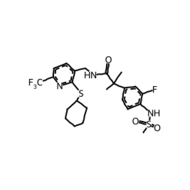 CC(C)(C(=O)NCc1ccc(C(F)(F)F)nc1SC1CCCCC1)c1ccc(NS(C)(=O)=O)c(F)c1